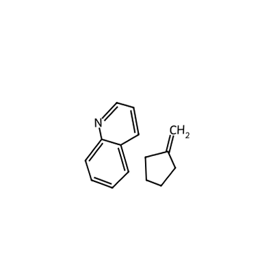 C=C1CCCC1.c1ccc2ncccc2c1